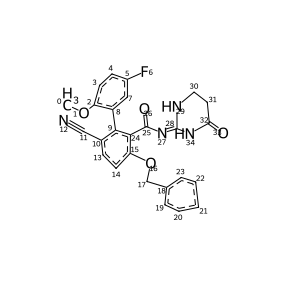 COc1ccc(F)cc1-c1c(C#N)ccc(OCc2ccccc2)c1C(=O)/N=C1\NCCC(=O)N1